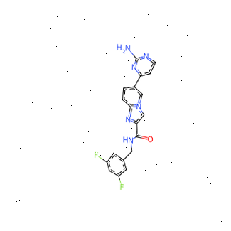 Nc1nccc(-c2ccc3nc(C(=O)NCc4cc(F)cc(F)c4)cn3c2)n1